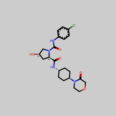 O=C(N[C@H]1CC[C@H](N2CCOCC2=O)CC1)[C@H]1C[C@@H](O)CN1C(=O)Nc1ccc(Cl)cc1